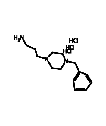 Cl.Cl.Cl.NCCCN1CCN(Cc2ccccc2)CC1